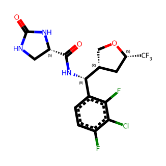 O=C1NC[C@@H](C(=O)N[C@@H](c2ccc(F)c(Cl)c2F)[C@@H]2CO[C@H](C(F)(F)F)C2)N1